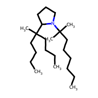 CCCCCCC(C)(C)N1CCCC1C(C)(CCCC)CCCC